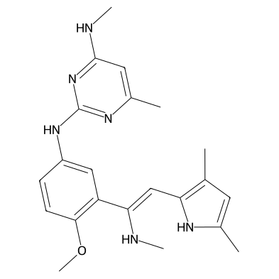 CN/C(=C\c1[nH]c(C)cc1C)c1cc(Nc2nc(C)cc(NC)n2)ccc1OC